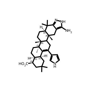 CC1(C)C[C@@H]2C3=C(c4cc[nH]c4)CC4[C@@]5(C)Cc6c(n[nH]c6N)C(C)(C)[C@@H]5CC[C@@]4(C)[C@]3(C)CC[C@@H]2[C@H](C(=O)O)C1